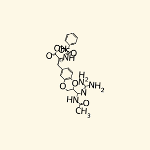 CC(=O)NC(N=C(N)N)C1COc2cc(C[C@H](NS(=O)(=O)c3ccccc3)C(=O)O)ccc2O1